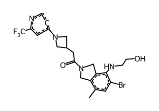 Cc1cc(Br)c(NCCO)c2c1CN(C(=O)CC1CN(c3ccnc(C(F)(F)F)c3)C1)C2